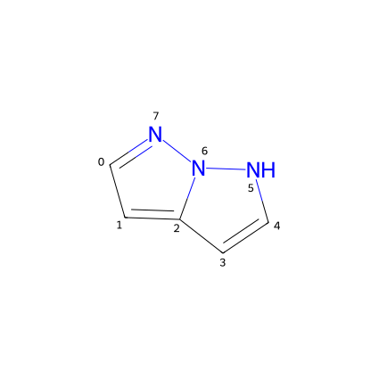 c1cc2cc[nH]n2n1